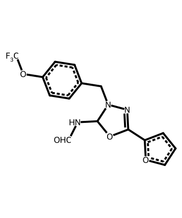 O=CNC1OC(c2ccco2)=NN1Cc1ccc(OC(F)(F)F)cc1